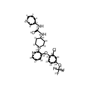 O=C(Nc1cccnc1)NC1CCN(c2ncccc2Oc2ccc(OC(F)(F)F)cc2Cl)CC1